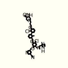 Cc1c(COc2cc(OCc3cncc(C#N)c3)c(CN(C)Cc3ncc[nH]3)cc2Cl)cccc1-c1cccc(OCCCN2CCC(O)(CO)CC2)c1Cl